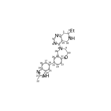 CCC1Cc2ncnc(N3CCOc4ccc(-c5ccc6nc(C)[nH]c6c5)cc4C3)c2CN1